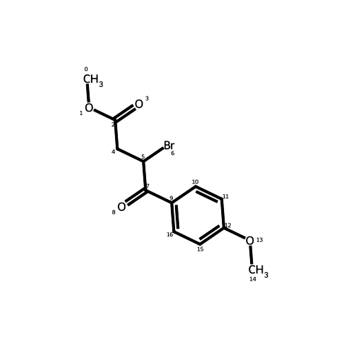 COC(=O)CC(Br)C(=O)c1ccc(OC)cc1